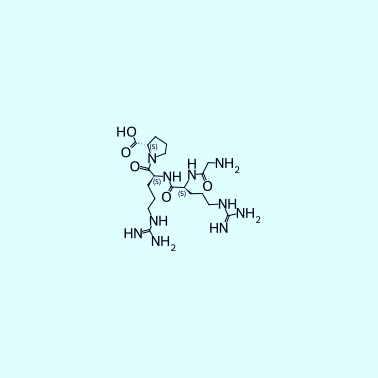 N=C(N)NCCC[C@H](NC(=O)CN)C(=O)N[C@@H](CCCNC(=N)N)C(=O)N1CCC[C@H]1C(=O)O